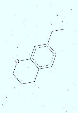 CCc1ccc2c(c1)OCCC2